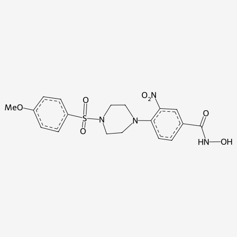 COc1ccc(S(=O)(=O)N2CCN(c3ccc(C(=O)NO)cc3[N+](=O)[O-])CC2)cc1